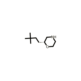 CC(C)(C)CC[C@@H]1CNCCO1